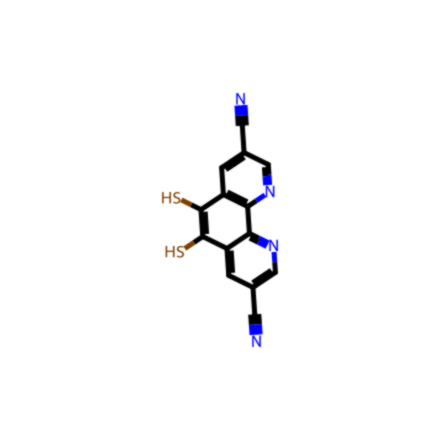 N#Cc1cnc2c(c1)c(S)c(S)c1cc(C#N)cnc12